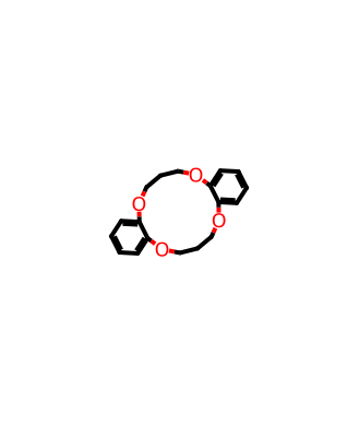 c1ccc2c(c1)OCCCOc1ccccc1OCCCO2